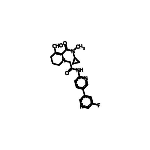 CN(C(=O)C1=C(C=O)CCCN1CC(=O)Nc1ccc(-c2cncc(F)c2)cn1)C1CC1